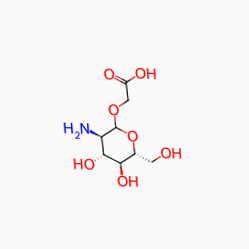 N[C@H]1C(OCC(=O)O)O[C@H](CO)[C@@H](O)[C@@H]1O